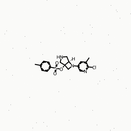 Cc1ccc(S(=O)(=O)O[C@@]23CNC[C@H]2N(c2cnc(Cl)c(C)c2)C3)cc1